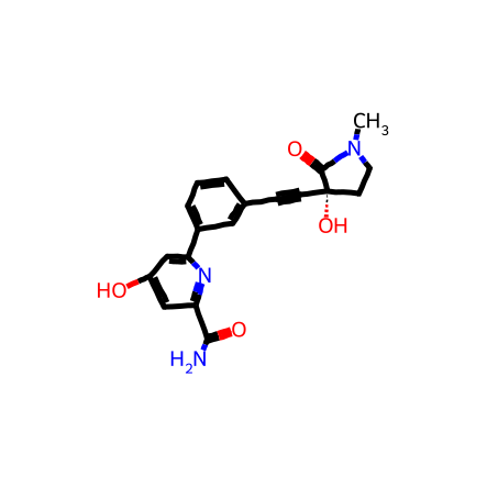 CN1CC[C@@](O)(C#Cc2cccc(-c3cc(O)cc(C(N)=O)n3)c2)C1=O